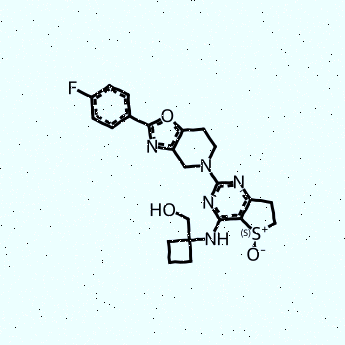 [O-][S@+]1CCc2nc(N3CCc4oc(-c5ccc(F)cc5)nc4C3)nc(NC3(CO)CCC3)c21